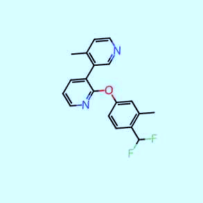 Cc1ccncc1-c1cccnc1Oc1ccc(C(F)F)c(C)c1